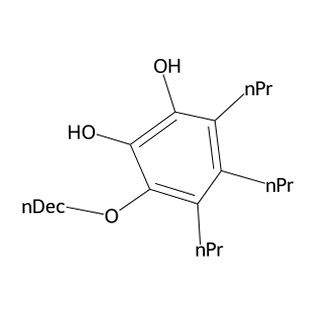 CCCCCCCCCCOc1c(O)c(O)c(CCC)c(CCC)c1CCC